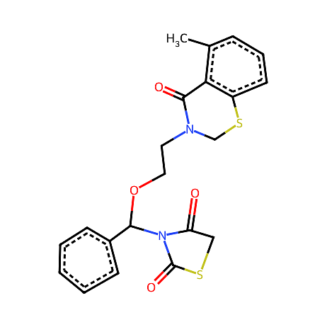 Cc1cccc2c1C(=O)N(CCOC(c1ccccc1)N1C(=O)CSC1=O)CS2